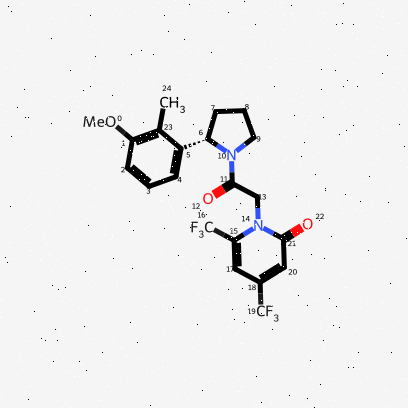 COc1cccc([C@@H]2CCCN2C(=O)Cn2c(C(F)(F)F)cc(C(F)(F)F)cc2=O)c1C